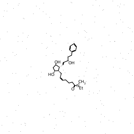 CCN(C)C(=O)CCC/C=C\C[C@@H]1[C@@H](/C=C/[C@@H](O)CCc2ccccc2)[C@H](O)C[C@@H]1O